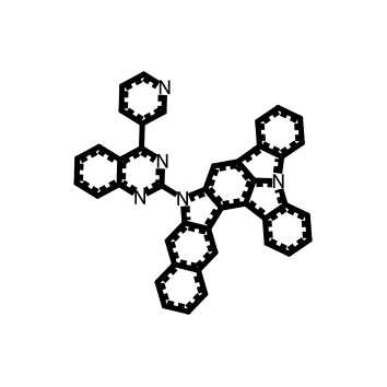 c1cncc(-c2nc(-n3c4cc5ccccc5cc4c4c5c6ccccc6n6c7ccccc7c(cc43)c56)nc3ccccc23)c1